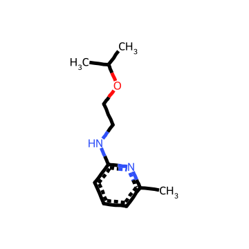 Cc1cccc(NCCOC(C)C)n1